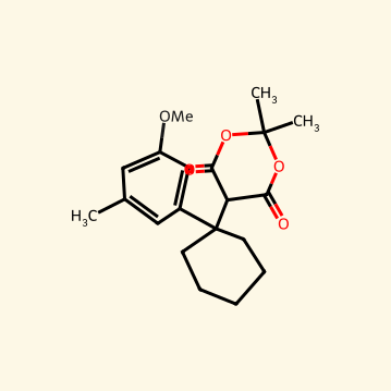 COc1cc(C)cc(C2(C3C(=O)OC(C)(C)OC3=O)CCCCC2)c1